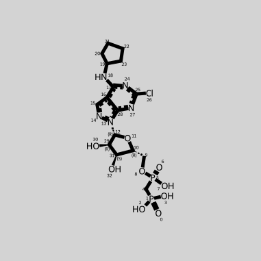 O=P(O)(O)CP(=O)(O)OC[C@H]1O[C@@H](n2ncc3c(NC4CCCC4)nc(Cl)nc32)[C@H](O)[C@@H]1O